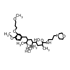 COCCCOc1cc(CC(CC(N)C(O)CC(C)C(=O)NCCCN2CCOCC2)C(C)C)ccc1OC.Cl.Cl